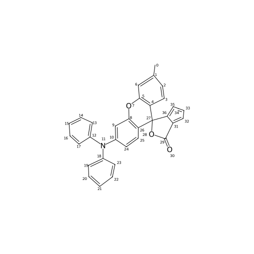 Cc1ccc2c(c1)Oc1cc(N(c3ccccc3)c3ccccc3)ccc1C21OC(=O)c2ccccc21